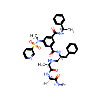 CCNC(=O)[C@@H](NC(=O)[C@H](C)NC[C@H](Cc1ccccc1)NC(=O)c1cc(C(=O)N[C@H](C)c2ccccc2)cc(N(C)S(=O)(=O)c2cccnc2)c1)C(C)C